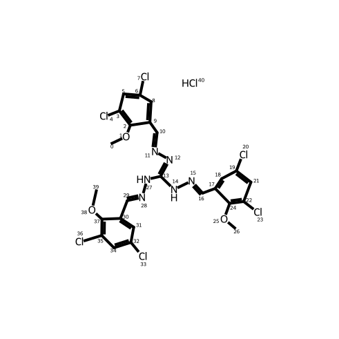 COc1c(Cl)cc(Cl)cc1/C=N/N=C(N/N=C/c1cc(Cl)cc(Cl)c1OC)N/N=C/c1cc(Cl)cc(Cl)c1OC.Cl